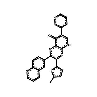 Cc1ccc(-c2nc3[nH]cc(-c4cccnc4)c(=O)c3nc2-c2ccc3ncccc3c2)s1